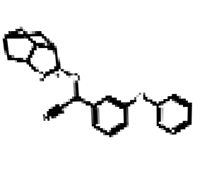 N#C[C](O[C@H]1OC2CC3CC2C1C3)c1cccc(Oc2ccccc2)c1